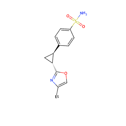 CCc1coc([C@@H]2C[C@H]2c2ccc(S(N)(=O)=O)cc2)n1